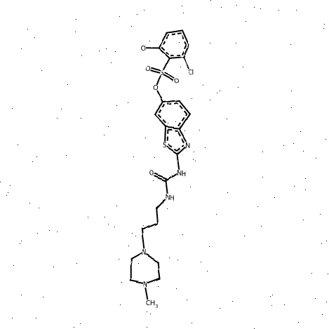 CN1CCN(CCCNC(=O)Nc2nc3ccc(OS(=O)(=O)c4c(Cl)cccc4Cl)cc3s2)CC1